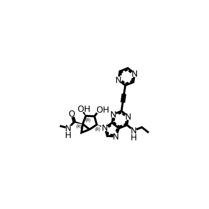 CCNc1nc(C#Cc2cnccn2)nc2c1ncn2[C@H]1C(O)[C@H](O)[C@@]2(C(=O)NC)CC12